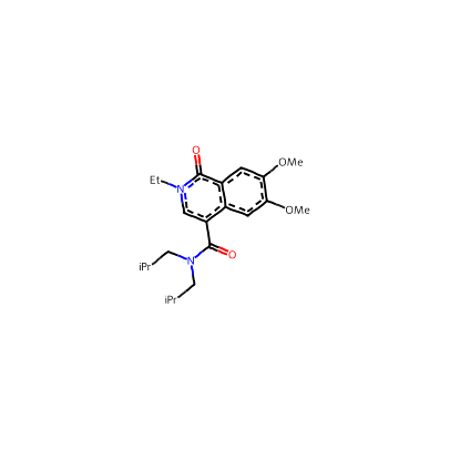 CCn1cc(C(=O)N(CC(C)C)CC(C)C)c2cc(OC)c(OC)cc2c1=O